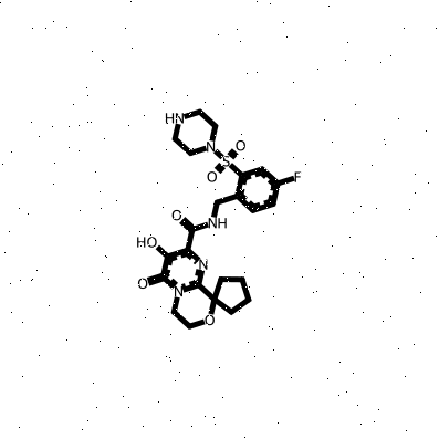 O=C(NCc1ccc(F)cc1S(=O)(=O)N1CCNCC1)c1nc2n(c(=O)c1O)CCOC21CCCC1